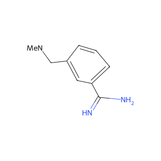 CNCc1cccc(C(=N)N)c1